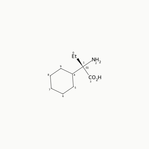 CC[C@@](N)(C(=O)O)C1CCCCC1